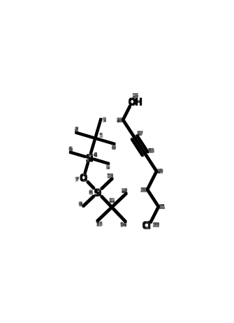 CC(C)(C)[Si](C)(C)O[Si](C)(C)C(C)(C)C.OCC#CCCCCl